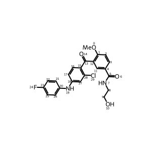 COc1ccc(C(=O)NCCO)cc1C(=O)c1ccc(Nc2ccc(F)cc2)cc1Cl